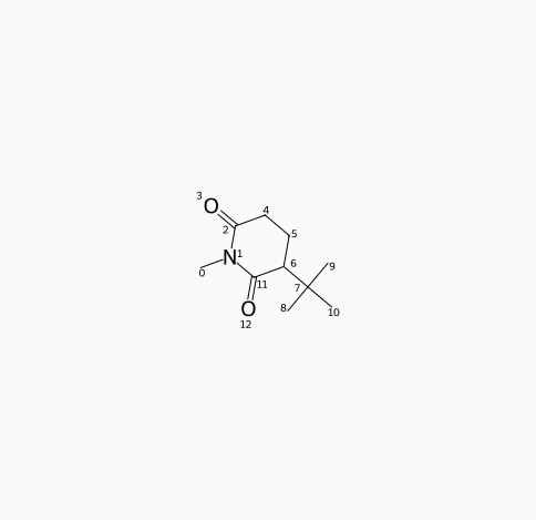 CN1C(=O)CCC(C(C)(C)C)C1=O